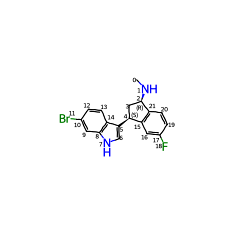 CN[C@@H]1C[C@H](c2c[nH]c3cc(Br)ccc23)c2cc(F)ccc21